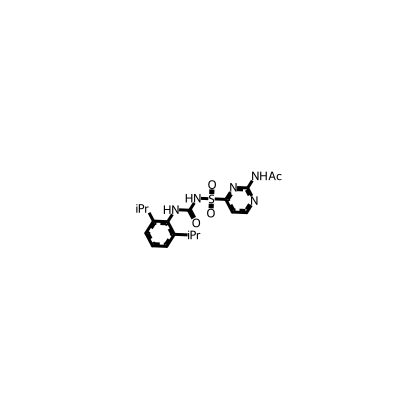 CC(=O)Nc1nccc(S(=O)(=O)NC(=O)Nc2c(C(C)C)cccc2C(C)C)n1